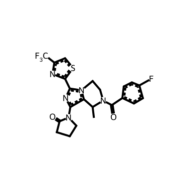 CC1c2c(N3CCCC3=O)nc(-c3nc(C(F)(F)F)cs3)n2CCN1C(=O)c1ccc(F)cc1